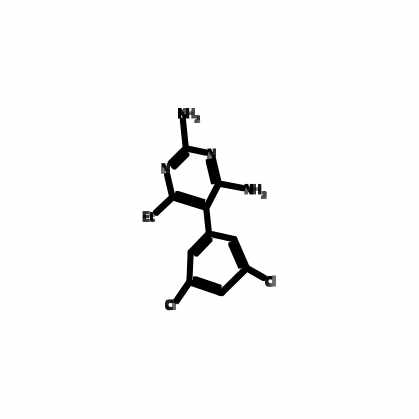 CCc1nc(N)nc(N)c1-c1cc(Cl)cc(Cl)c1